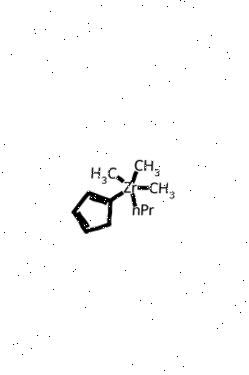 CC[CH2][Zr]([CH3])([CH3])([CH3])[C]1=CC=CC1